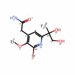 CCOc1c(CC(N)=O)cc(C(O)(CO)C(F)(F)F)nc1Br